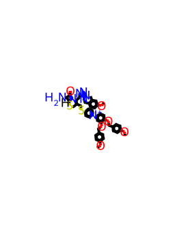 COc1ccc(COc2ccc(-[n+]3ccc(SCC4=C(c5nnnn5Cc5ccc(OC)cc5C)N5C(=O)[C@@H](N)[C@H]5SC4)cc3)cc2OCc2ccc(OC)cc2)cc1